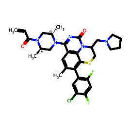 C=CC(=O)N1C[C@H](C)N(c2nc(=O)n3c4c(c(-c5cc(Cl)c(F)cc5F)c(C)cc24)SCC3CN2CCCC2)C[C@H]1C